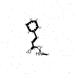 CNOC(=O)C=Cc1ccccc1